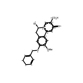 CC[C@@H]1Cc2cc(OCC3=CCCC=C3)c(OC)cc2-c2cc(=O)c(C(=O)O)cn21